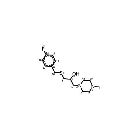 CN1CCN(CC(O)CSCc2ccc(F)cc2)CC1